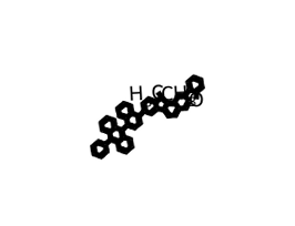 CC1(C)c2ccc(-c3ccc(-c4c5ccccc5c(-c5ccccc5)c5ccccc45)c4ccccc34)cc2-c2ccc3cc4oc5ccccc5c4cc3c21